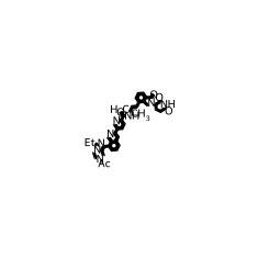 CCc1nc(-c2cccc3cc(-c4ccc(C(=O)NC(C)(C)/C=C/c5cccc6c5CN(C5CCC(=O)NC5=O)C6=O)nc4)ncc23)c2n1CCN(C(C)=O)C2